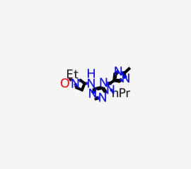 CCCn1c(-c2cnc(C)nc2)nc2c(NC3CCN(C(=O)CC)C3)ncnc21